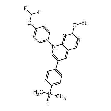 CCOC1N=CC2=CC(c3ccc(P(C)(C)=O)cc3)=CN(c3ccc(OC(F)F)cc3)C2=N1